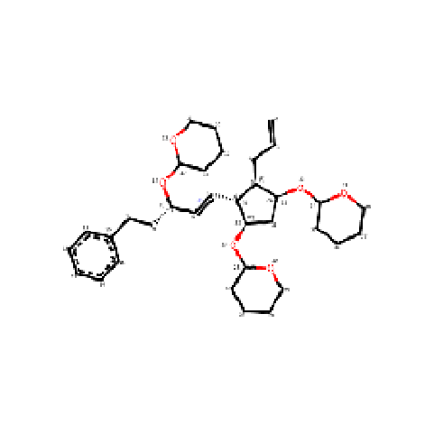 C=CC[C@@H]1[C@@H](/C=C/[C@H](CCc2ccccc2)OC2CCCCO2)[C@H](OC2CCCCO2)C[C@@H]1OC1CCCCO1